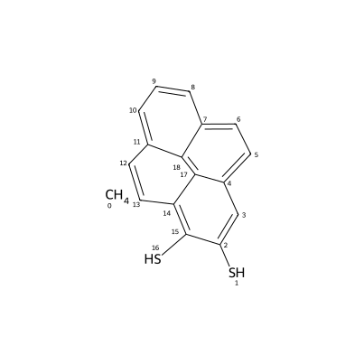 C.Sc1cc2ccc3cccc4ccc(c1S)c2c34